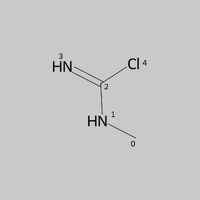 CNC(=N)Cl